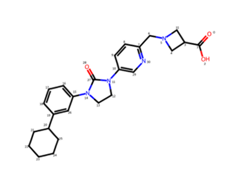 O=C(O)C1CN(Cc2ccc(N3CCN(c4cccc(C5CCCCC5)c4)C3=O)cn2)C1